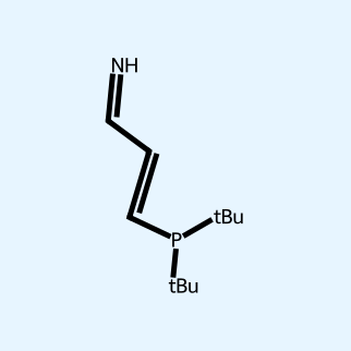 CC(C)(C)P(/C=C/C=N)C(C)(C)C